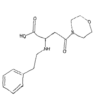 O=C(O)C(CC(=O)N1CCOCC1)NCCc1ccccc1